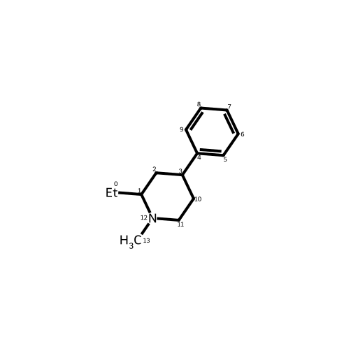 CCC1CC(c2ccccc2)CCN1C